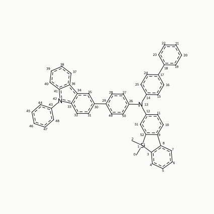 C[Si]1(C)c2ccccc2-c2ccc(N(c3ccc(-c4ccccc4)cc3)c3ccc(-c4ccc5c(c4)c4ccccc4n5-c4ccccc4)cc3)cc21